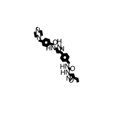 CCc1cc(NC(=O)NCc2ccc(-c3cc(NC(=O)c4ccc(CN5CCN(C)CC5)cc4)[nH]n3)cc2)no1